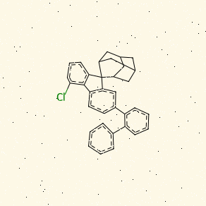 Clc1cccc2c1-c1ccc(-c3ccccc3-c3ccccc3)cc1C21C2CC3CC(C2)CC1C3